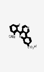 COc1cccc(F)c1-c1nc2cc(C(=O)O)ccc2c2cnccc12